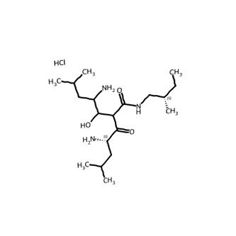 CC[C@H](C)CNC(=O)C(C(=O)[C@@H](N)CC(C)C)C(O)C(N)CC(C)C.Cl